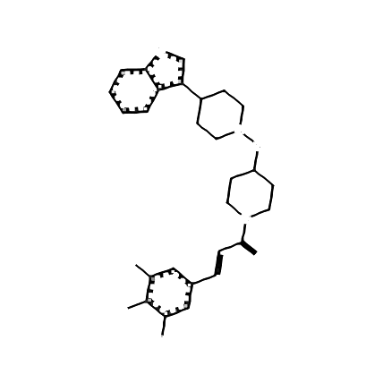 O=C(C=Cc1cc(F)c(F)c(F)c1)N1CCC(NN2CCC(c3c[nH]c4ccccc34)CC2)CC1